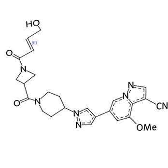 COc1cc(-c2cnn(C3CCN(C(=O)C4CN(C(=O)/C=C/CO)C4)CC3)c2)cn2ncc(C#N)c12